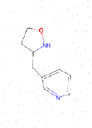 c1cncc(CC2CCON2)c1